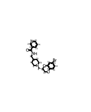 O=C(NCC1CCN(C[C@H]2COc3ccc(Br)cc3O2)CC1)c1cccnc1